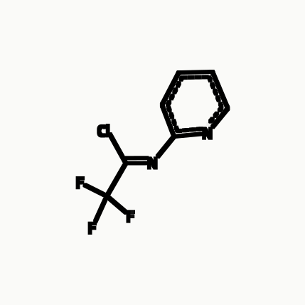 FC(F)(F)C(Cl)=Nc1ccccn1